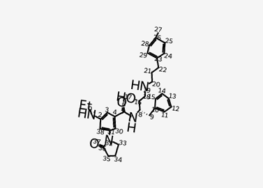 CCNc1cc(C(=O)N[C@@H](Cc2ccccc2)[C@H](O)CNCCCc2ccc(C)cc2)cc(N2CCCC2=O)c1